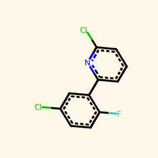 Fc1ccc(Cl)cc1-c1cccc(Cl)n1